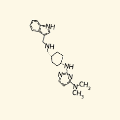 CN(C)c1ccnc(N[C@H]2CC[C@@H](CNCc3c[nH]c4ccccc34)CC2)n1